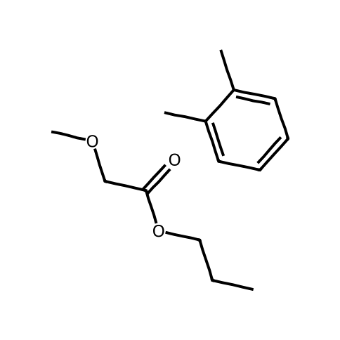 CCCOC(=O)COC.Cc1ccccc1C